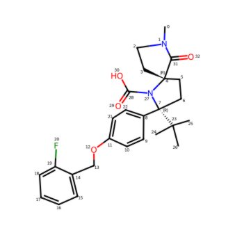 CN1CC[C@]2(CC[C@](c3ccc(OCc4ccccc4F)cc3)(C(C)(C)C)N2C(=O)O)C1=O